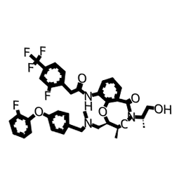 C[C@@H]1CN([C@@H](C)CO)C(=O)c2cccc(NC(=O)Cc3ccc(C(F)(F)F)cc3F)c2O[C@@H]1CN(C)Cc1ccc(Oc2ccccc2F)cc1